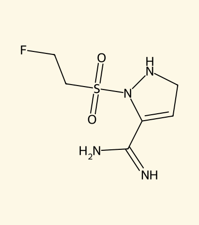 N=C(N)C1=CCNN1S(=O)(=O)CCF